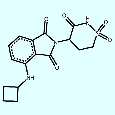 O=C1NS(=O)(=O)CCC1N1C(=O)c2cccc(NC3CCC3)c2C1=O